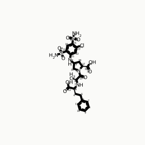 C[C@H](N[C@@H](CCc1ccccc1)C(=O)O)C(=O)N1CC(Nc2cc(Cl)c(S(N)(=O)=O)cc2S(N)(=O)=O)C[C@H]1C(=O)O